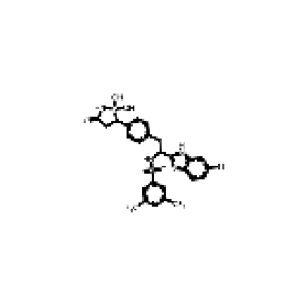 O=C1CC(c2ccc(C[C@H](NS(=O)(=O)c3cc(C(F)(F)F)cc(C(F)(F)F)c3)c3nc4ccc(Cl)cc4[nH]3)cc2)S(O)(O)N1